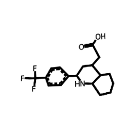 O=C(O)CC1CC(c2ccc(C(F)(F)F)cc2)NC2CCCCC12